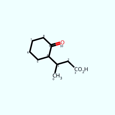 CC(CC(=O)O)C1CCCCC1=O